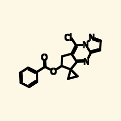 O=C(OC1Cc2c(nc3ccnn3c2Cl)C12CC2)c1ccccc1